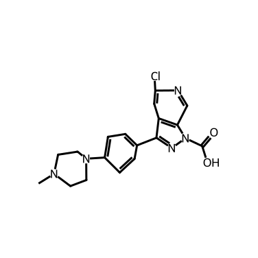 CN1CCN(c2ccc(-c3nn(C(=O)O)c4cnc(Cl)cc34)cc2)CC1